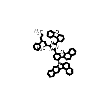 C=C/C=C(\C=C(/C)c1nc(-c2ccc(-n3c4cc5ccccc5cc4c4c5ccccc5ccc43)c3c2oc2c4ccccc4ccc23)nc(-c2cccc3oc4ccccc4c23)n1)c1ccccc1